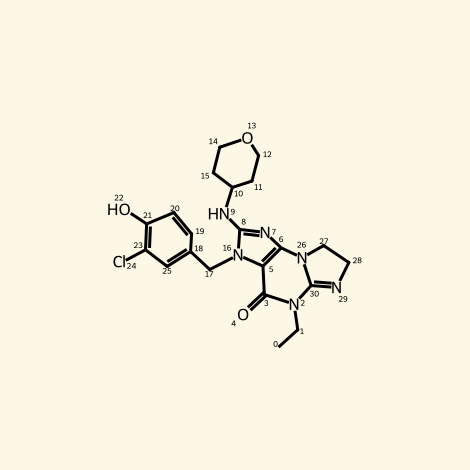 CCN1C(=O)c2c(nc(NC3CCOCC3)n2Cc2ccc(O)c(Cl)c2)N2CCN=C12